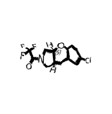 O=C(N1C[C@H]2Cc3cc(Cl)ccc3O[C@@H]2C1)C(F)(F)F